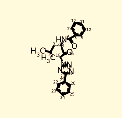 CC(C)C[C@H](NC(=O)c1ccccc1)C(=O)Cn1nnc(-c2ccccc2)n1